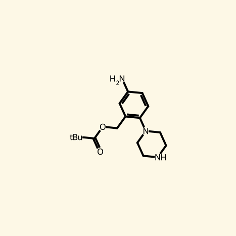 CC(C)(C)C(=O)OCc1cc(N)ccc1N1CCNCC1